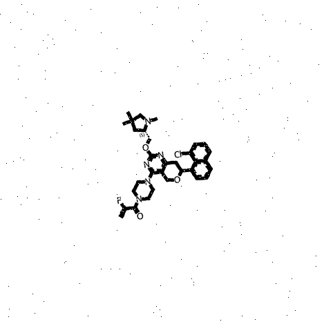 C=C(F)C(=O)N1CCN(c2nc(OC[C@@H]3CC(C)(C)CN3C)nc3c2COC(c2cccc4cccc(Cl)c24)C3)CC1